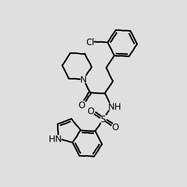 O=C(C(CCc1ccccc1Cl)NS(=O)(=O)c1cccc2[nH]ccc12)N1CCCCC1